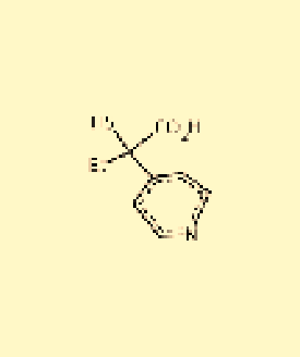 CCC(S)(C(=O)O)c1ccncc1